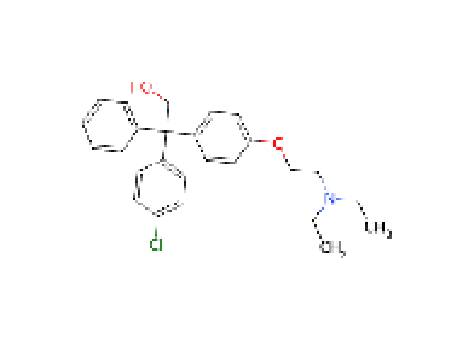 CCN(CC)CCOc1ccc(C(CO)(c2ccccc2)c2ccc(Cl)cc2)cc1